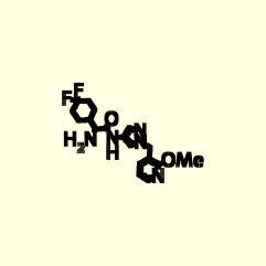 COc1ncccc1Cn1cc(NC(=O)C(N)C2CCC(F)(F)CC2)cn1